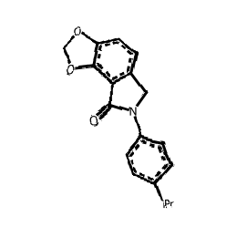 CC(C)c1ccc(N2Cc3ccc4c(c3C2=O)OCO4)cc1